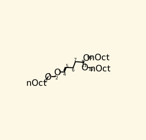 CCCCCCCCOCOC=CCCC(OCCCCCCCC)OCCCCCCCC